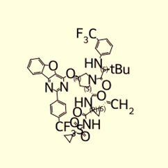 C=C[C@@H]1C[C@]1(NC(=O)[C@@H]1C[C@@H](Oc2nc(-c3ccc(C(F)(F)F)cc3)nc3c2oc2ccccc23)CN1C(=O)[C@@H](Nc1cccc(C(F)(F)F)c1)C(C)(C)C)C(=O)NS(=O)(=O)C1CC1